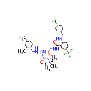 Cc1ccc(CNC[C@H](NC(=O)CNC(=O)c2cc(C(F)(F)F)ccc2NCc2ccc(Cl)cc2)C(=O)NC(C)(C)C)c(C)c1